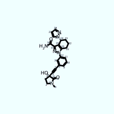 CN1CC[C@@](O)(C#Cc2cccc(-n3nc(C(N)=O)c4c3CCC[C@H]4n3cccn3)c2)C1=O